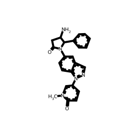 Cn1cc(-n2ncc3cc(N4C(=O)CC(N)C4c4ccccc4)ccc32)ccc1=O